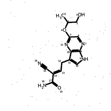 CC(CO)Oc1cnc2[nH]cc(C/C=C(\C#N)C(N)=O)c2n1